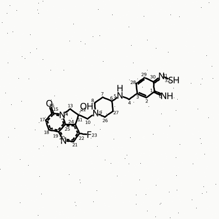 N=C1C=C(CNC2CCN(C[C@]3(O)Cn4c(=O)ccc5ncc(F)c3c54)CC2)C=C/C1=N/S